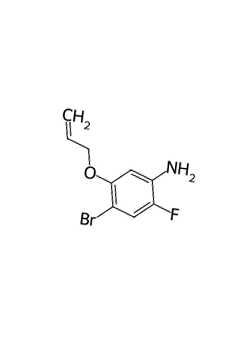 C=CCOc1cc(N)c(F)cc1Br